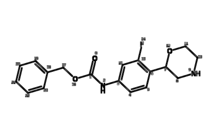 O=C(Nc1ccc(C2CNCCO2)c(F)c1)OCc1ccccc1